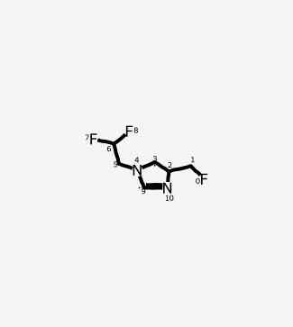 FCC1[CH]N(CC(F)F)[C]=N1